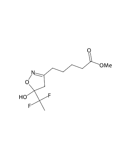 COC(=O)CCCCC1=NOC(O)(C(C)(F)F)C1